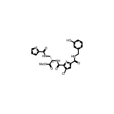 COC(=O)[C@H](CNC(=O)c1cccs1)NC(=O)c1sc(C(=O)NCc2cccc(O)c2)cc1Cl